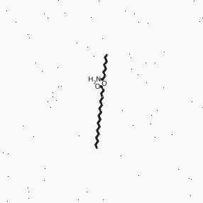 CCCCCCCCCCCCCCCCCC(=O)OC(N)CCCCCCC